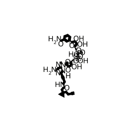 C#CCCC1(CC(=O)NCC#Cc2nc(N)c3ncn([C@H]4O[C@@H](COP(=O)(O)OP(=O)(O)OC[C@H]5O[C@@H](c6cccc(C(N)=O)c6)C(O)C5O)C(O)C4O)c3n2)CC1